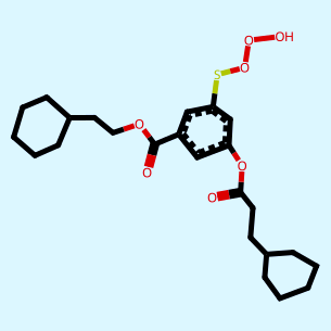 O=C(CCC1CCCCC1)Oc1cc(SOOO)cc(C(=O)OCCC2CCCCC2)c1